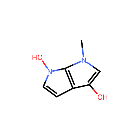 Cn1cc(O)c2ccn(O)c21